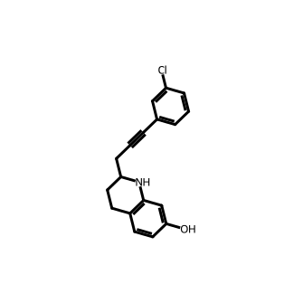 Oc1ccc2c(c1)NC(CC#Cc1cccc(Cl)c1)CC2